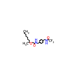 C=CCCCCCC(C)OCC(=O)NCc1ccc(CNC(=O)C(F)(F)F)cc1